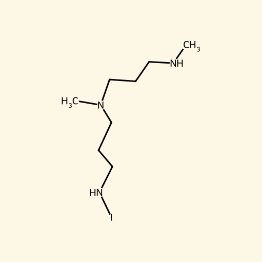 CNCCCN(C)CCCNI